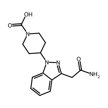 NC(=O)Cc1nn(C2CCN(C(=O)O)CC2)c2ccccc12